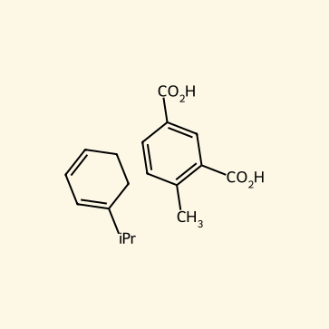 CC(C)C1=CC=CCC1.Cc1ccc(C(=O)O)cc1C(=O)O